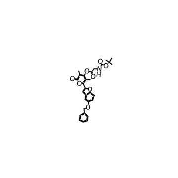 Cc1c(-c2cc3cc(OCc4ccccc4)ccc3o2)oc(=O)c(C)c1OC(=O)CNC(=O)OC(C)(C)C